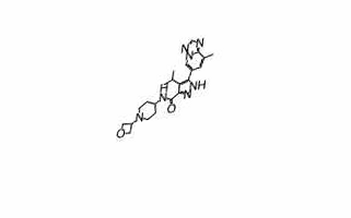 Cc1cc(-c2[nH]nc(C(=O)NC3CCN(C4COC4)CC3)c2C(C)C)cn2ncnc12